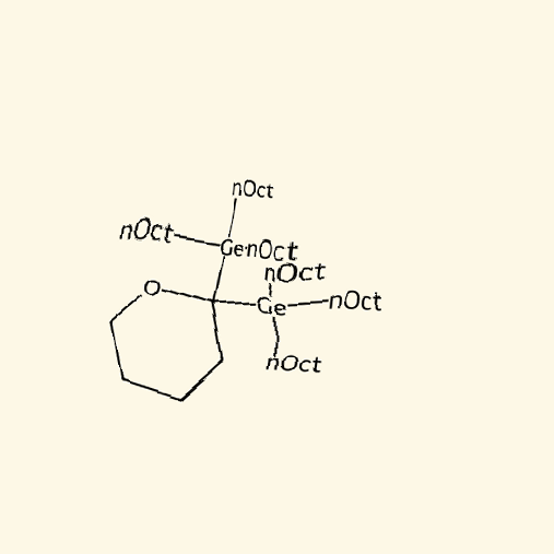 CCCCCCC[CH2][Ge]([CH2]CCCCCCC)([CH2]CCCCCCC)[C]1([Ge]([CH2]CCCCCCC)([CH2]CCCCCCC)[CH2]CCCCCCC)CCCCO1